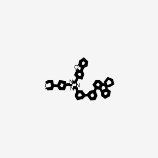 c1ccc(-c2ccc(-c3nc(-c4cccc(-c5cccc(-c6cccc7c6-c6ccccc6C76CCCCC6)c5)c4)nc(-c4ccc5c(c4)oc4ccccc45)n3)cc2)cc1